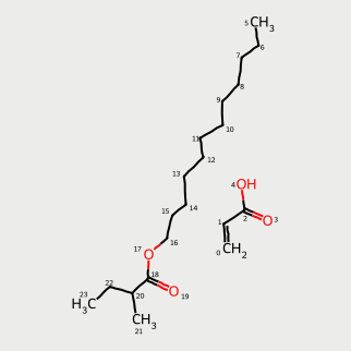 C=CC(=O)O.CCCCCCCCCCCCOC(=O)C(C)CC